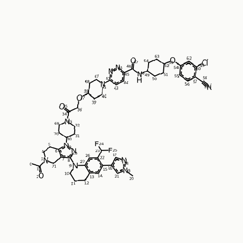 CC(=O)N1CCc2c(c(N3CCCc4cc(-c5cnn(C)c5)c(C(F)F)cc43)nn2C2CCN(C(=O)COC3CCN(c4ccc(C(=O)NC5CCC(Oc6ccc(C#N)c(Cl)c6)CC5)nn4)CC3)CC2)C1